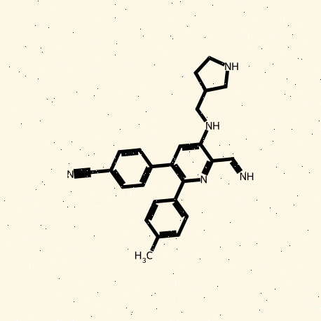 Cc1ccc(-c2nc(C=N)c(NCC3CCNC3)cc2-c2ccc(C#N)cc2)cc1